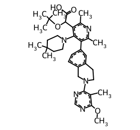 COc1ncnc(N2CCc3cc(-c4c(C)nc(C)c(C(OC(C)(C)C)C(=O)O)c4N4CCC(C)(C)CC4)ccc3C2)c1C